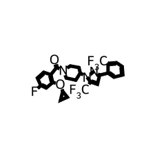 O=C(c1ccc(F)cc1OC1CC1)N1CCC(n2nc(-c3ccccc3C(F)(F)F)cc2C(F)(F)F)CC1